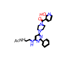 CC(=O)NCCNc1cc(N2CCN(C(=O)c3cccnc3O)CC2)nc(-c2ccccc2)n1